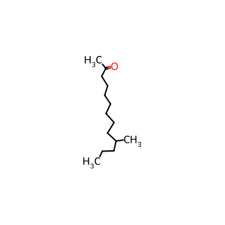 CCCC(C)CCCCCCCC(C)=O